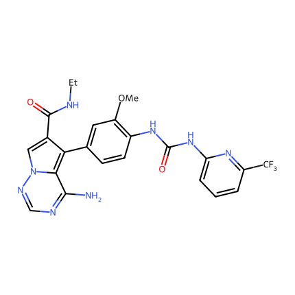 CCNC(=O)c1cn2ncnc(N)c2c1-c1ccc(NC(=O)Nc2cccc(C(F)(F)F)n2)c(OC)c1